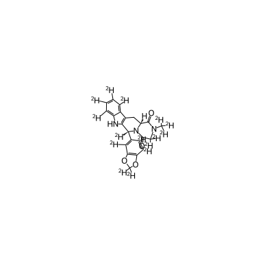 [2H]c1c([2H])c([C@]2([2H])c3[nH]c4c([2H])c([2H])c([2H])c([2H])c4c3C[C@@H]3C(=O)N(C([2H])([2H])[2H])C([2H])([2H])C(=O)N32)c([2H])c2c1OC([2H])([2H])O2